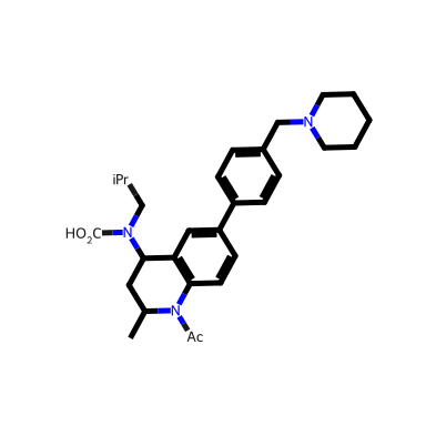 CC(=O)N1c2ccc(-c3ccc(CN4CCCCC4)cc3)cc2C(N(CC(C)C)C(=O)O)CC1C